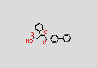 O=C(O)Cc1c(C(=O)c2ccc(-c3ccccc3)cc2)oc2ccccc12